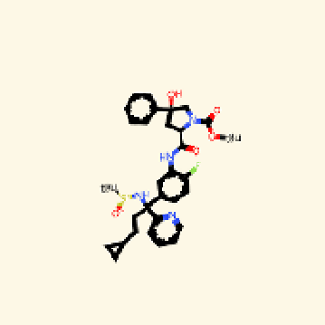 CC(C)(C)OC(=O)N1C[C@@](O)(c2ccccc2)C[C@@H]1C(=O)Nc1cc(C(CCC2CC2)(N[S@@+]([O-])C(C)(C)C)c2ccccn2)ccc1F